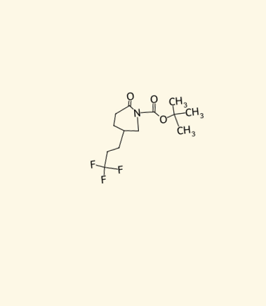 CC(C)(C)OC(=O)N1CC(CCC(F)(F)F)CCC1=O